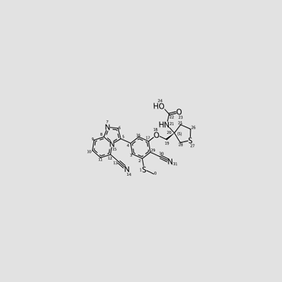 CSc1cc(-c2cnc3cccc(C#N)n23)cc(OC[C@@]2(NC(=O)O)CCSC2)c1C#N